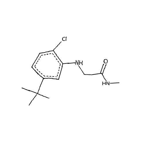 CNC(=O)CNc1cc(C(C)(C)C)ccc1Cl